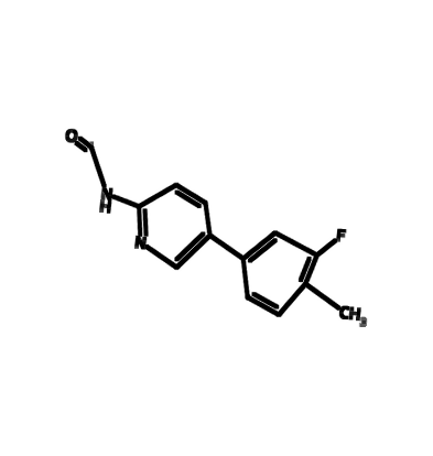 Cc1ccc(-c2ccc(N[C]=O)nc2)cc1F